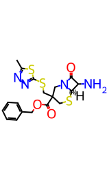 Cc1nnc(SCC2(C(=O)OCc3ccccc3)CS[C@@H]3C(N)C(=O)N3C2)s1